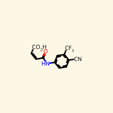 N#Cc1ccc(NC(=O)/C=C\C(=O)O)cc1C(F)(F)F